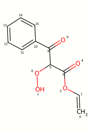 C=COC(=O)C(OO)C(=O)c1ccccc1